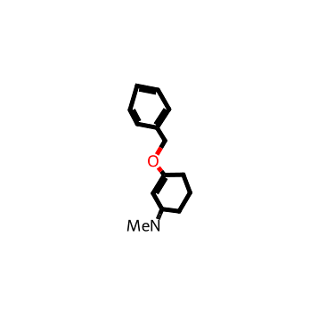 CNC1C=C(OCc2ccccc2)CCC1